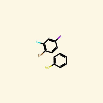 Fc1cc(I)ccc1Br.Sc1ccccc1